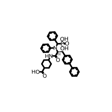 O=C(O)C1CCC(NC(=O)[C@H](Cc2ccc(-c3ccccc3)cc2)N(c2ccccc2)C(c2ccccc2)P(=O)(O)O)CC1